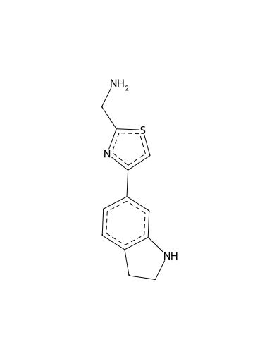 NCc1nc(-c2ccc3c(c2)NCC3)cs1